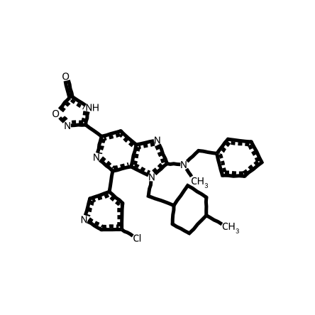 CC1CCC(Cn2c(N(C)Cc3ccccc3)nc3cc(-c4noc(=O)[nH]4)nc(-c4cncc(Cl)c4)c32)CC1